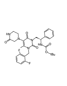 Cc1c(N2CCNC(=O)C2)c(=O)n(C[C@H](NC(=O)OC(C)(C)C)c2ccccc2)c(=O)n1Cc1c(F)cccc1F